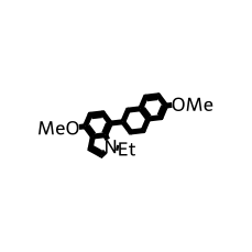 CCn1ccc2c(OC)ccc(C3CCc4cc(OC)ccc4C3)c21